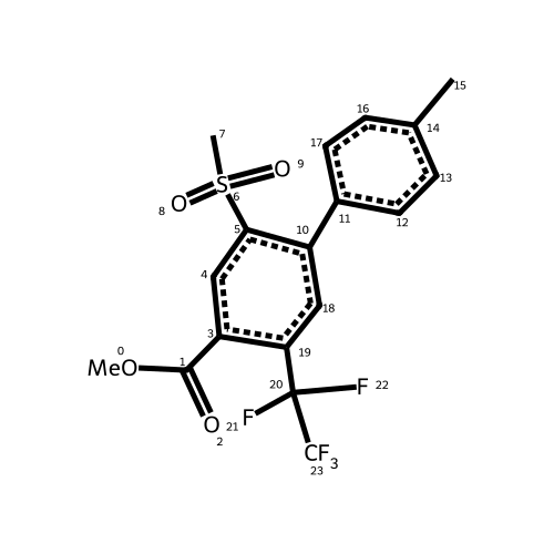 COC(=O)c1cc(S(C)(=O)=O)c(-c2ccc(C)cc2)cc1C(F)(F)C(F)(F)F